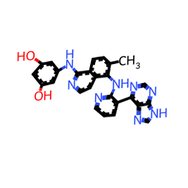 Cc1ccc2c(Nc3cc(O)cc(O)c3)nccc2c1Nc1ncccc1-c1ncnc2[nH]cnc12